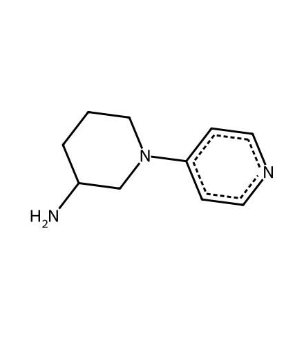 NC1CCCN(c2ccncc2)C1